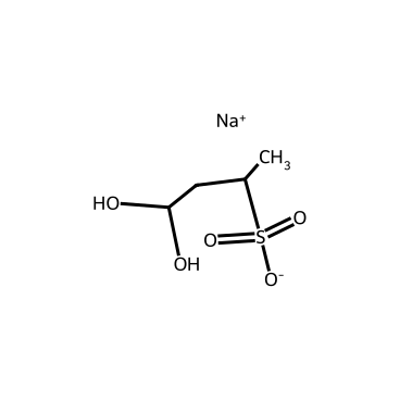 CC(CC(O)O)S(=O)(=O)[O-].[Na+]